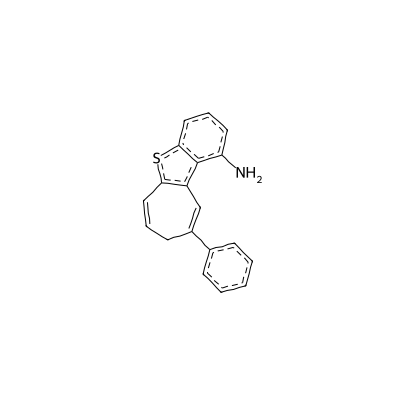 Nc1cccc2sc3c(c12)C=C(c1ccccc1)CC=C3